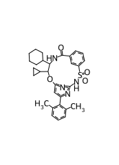 Cc1cccc(C)c1-c1cc2nc(n1)NS(=O)(=O)c1cccc(c1)C(=O)NC(C1CCCCC1)C(C1CC1)O2